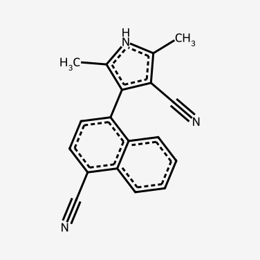 Cc1[nH]c(C)c(-c2ccc(C#N)c3ccccc23)c1C#N